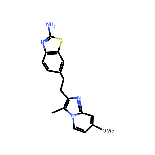 COc1ccn2c(C)c(CCc3ccc4nc(N)sc4c3)nc2c1